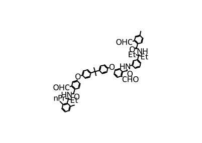 CCCC(CC)(NC(=O)c1ccc(Oc2ccc(C(C)(C)c3ccc(Oc4ccc(C=O)c(C(=O)Nc5cccc(C(CC)(CC)NC(=O)c6ccc(C)cc6C=O)c5)c4)cc3)cc2)cc1C=O)c1c(C)cccc1C